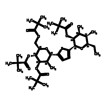 CC[C@H]1O[C@H](c2ccc([C@H]3O[C@H](COC(=O)C(C)(C)C)[C@@H](OC(=O)C(C)(C)C)[C@H](OC(=O)C(C)(C)C)[C@@H]3C)s2)[C@@H](OC(=O)C(C)(C)C)[C@@H](C)[C@@H]1C